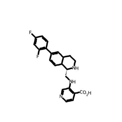 O=C(O)c1ccncc1NC[C@H]1NCCC2C=C(c3ccc(F)cc3F)C=CC21